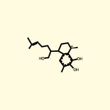 CC(C)=CCCC(CO)C1CC[C@@H](C)c2c1cc(C)c(O)c2O